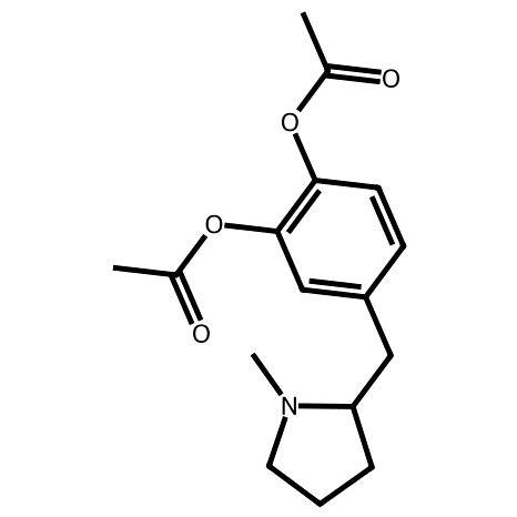 CC(=O)Oc1ccc(CC2CCCN2C)cc1OC(C)=O